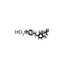 O=C1CSc2ccc(CCN3CCN(C(=O)O)CC3)cc2N1